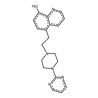 Oc1ccc(CCN2CCN(c3ncccn3)CC2)c2cccnc12